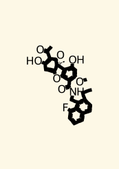 CCc1ccc2cccc(F)c2c1CNC(=O)c1c(OC)cc(O)c2c1OC1=CC(O)=C(C(C)=O)C(=O)[C@]12C